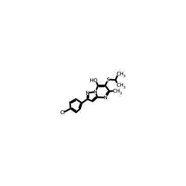 Cc1nc2cc(-c3ccc(Cl)cc3)nn2c(O)c1SC(C)C